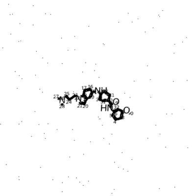 COc1cccc(NC(=O)c2ccc(Nc3ccc4c(ccn4CCCN(C)C)c3)cc2)c1